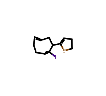 IC1=CCC/C=C/CC1C1=CCCS1